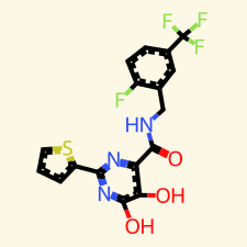 O=C(NCc1cc(C(F)(F)F)ccc1F)c1nc(-c2cccs2)nc(O)c1O